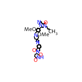 C/C=C/Cn1cc(-c2cc(OC)c(CN3CCC4(CC3)CN(c3ccc5c(c3)C(=O)N(C3CCC(=O)NC3=O)C5)C4)c(OC)c2)n2cncc2c1=O